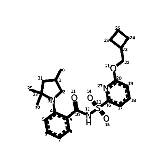 CC1CN(c2ccccc2C(=O)NS(=O)(=O)c2cccc(OCC3CCC3)n2)C(C)(C)C1